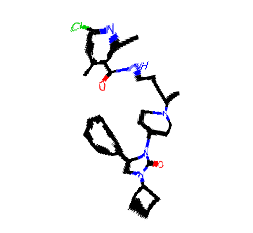 Cc1cc(Cl)nc(C)c1C(=O)NCCC(C)N1CCC(N2C(=O)N(C3CCC3)CC2c2ccccc2)CC1